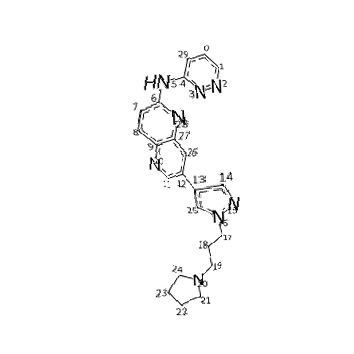 c1cnnc(Nc2ccc3ncc(-c4cnn(CCCN5CCCC5)c4)cc3n2)c1